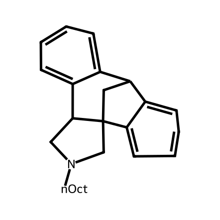 CCCCCCCCN1CC2c3ccccc3C3CC2(C1)c1ccccc13